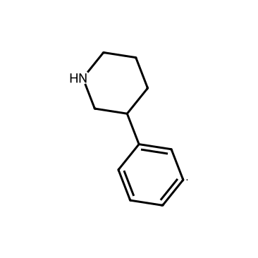 [c]1cccc(C2CCCNC2)c1